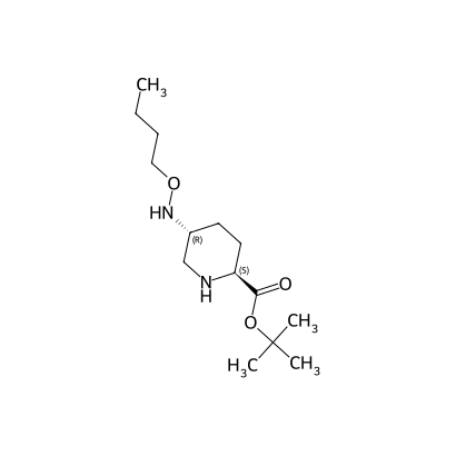 CCCCON[C@@H]1CC[C@@H](C(=O)OC(C)(C)C)NC1